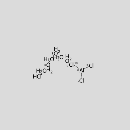 Cl.O.O.O.O.O.O.[Cl][Al]([Cl])[Cl]